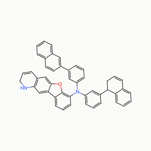 C1=Cc2cc3oc4c(N(c5cccc(-c6ccc7ccccc7c6)c5)c5cccc(C6CC=Cc7ccccc76)c5)cccc4c3cc2NC1